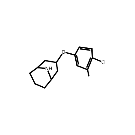 Cc1cc(OC2CC3CCCC(C2)N3)ccc1Cl